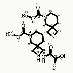 CC(C)(C)OC(=O)N1CCCC2(CNC2)C1.CC(C)(C)OC(=O)N1CCCC2(CNC2)C1.O=C(O)C(=O)O